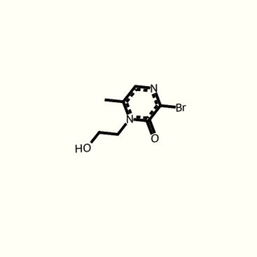 Cc1cnc(Br)c(=O)n1CCO